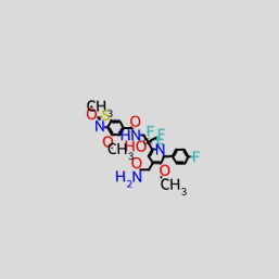 CCOc1c(CC(N)=O)cc([C@@](O)(CNC(=O)c2cc(OC)c3nc(OC)sc3c2)C(F)(F)F)nc1-c1ccc(F)cc1